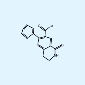 O=C1NCCc2nc(-c3ccccn3)c(C(=O)O)cc21